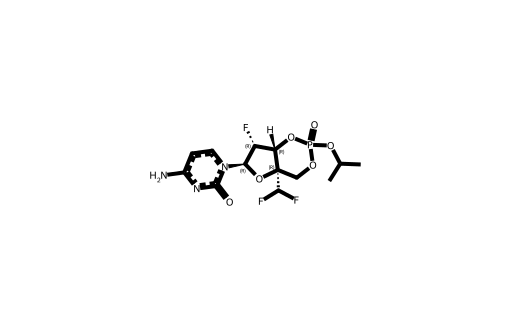 CC(C)OP1(=O)OC[C@@]2(C(F)F)O[C@@H](n3ccc(N)nc3=O)[C@H](F)[C@@H]2O1